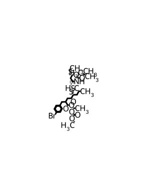 CCOC(=O)OC(C)OC(=O)C(CC(=O)C(CC(C)C)SSC[C@H](CCSC)NC(=O)OC(C)(C)C)Cc1ccc(Br)cc1